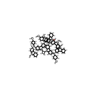 CCn1c2c(c3ccccc31)=CC(C)(N(c1ccc(OC)cc1)c1ccc3c(c1)c1cc(N(c4ccc(OC)cc4)c4ccc5c(c4)c4ccccc4n5CC)ccc1n3C1CCC1n1c3ccc(N(c4ccc(OC)cc4)c4ccc5c(c4)c4ccccc4n5CC)cc3c3cc(N(c4ccc(OC)cc4)c4ccc5c(c4)c4ccccc4n5CC)ccc31)CC=2